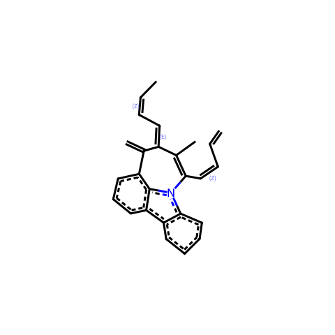 C=C/C=C\C1=C(C)C(=C/C=C\C)/C(=C)c2cccc3c4ccccc4n1c23